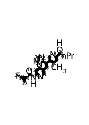 CCC[C@@H](O)c1cc(C)c(-c2cc3cnc(NC(=O)[C@H]4C[C@H]4F)cc3n3ncnc23)cn1